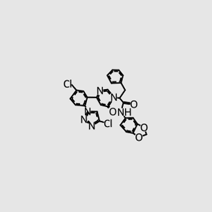 O=C(Nc1ccc2c(c1)OCO2)C(Cc1ccccc1)n1cnc(-c2cc(Cl)ccc2-n2cc(Cl)nn2)cc1=O